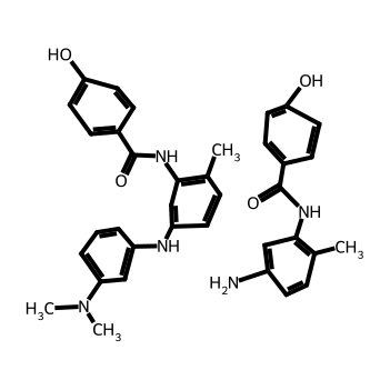 Cc1ccc(N)cc1NC(=O)c1ccc(O)cc1.Cc1ccc(Nc2cccc(N(C)C)c2)cc1NC(=O)c1ccc(O)cc1